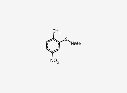 CNSc1cc([N+](=O)[O-])ccc1C